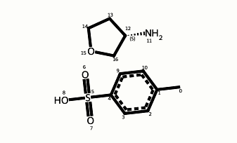 Cc1ccc(S(=O)(=O)O)cc1.N[C@H]1CCOC1